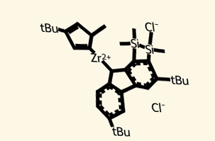 CC1C=C(C(C)(C)C)C=[C]1[Zr+2][CH]1c2ccc(C(C)(C)C)cc2-c2cc(C(C)(C)C)c3c(c21)[Si](C)(C)[Si]3(C)C.[Cl-].[Cl-]